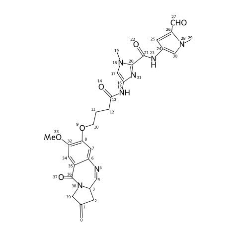 C=C1CC2C=Nc3cc(OCCCC(=O)Nc4cn(C)c(C(=O)Nc5cc(C=O)n(C)c5)n4)c(OC)cc3C(=O)N2C1